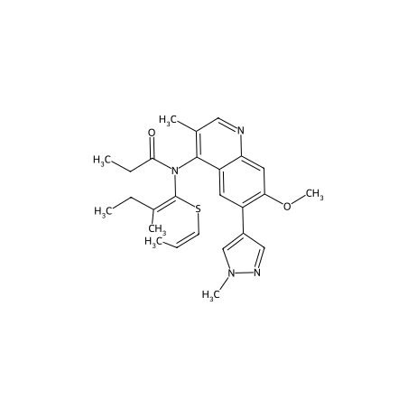 C/C=C\S/C(=C(\C)CC)N(C(=O)CC)c1c(C)cnc2cc(OC)c(-c3cnn(C)c3)cc12